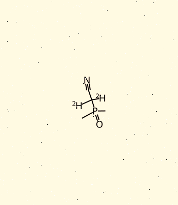 [2H]C([2H])(C#N)P(C)(C)=O